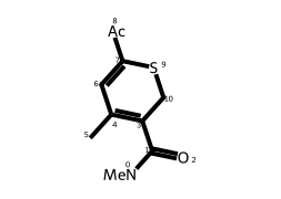 CNC(=O)C1=C(C)C=C(C(C)=O)SC1